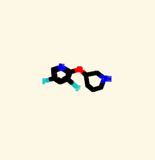 Fc1cnc(OC2CCCNC2)c(F)c1